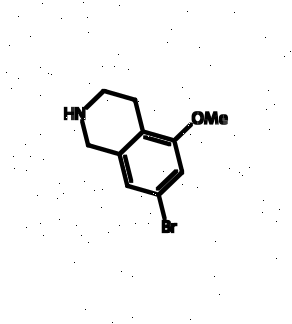 COc1cc(Br)cc2c1CCNC2